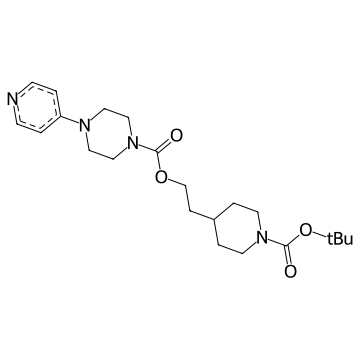 CC(C)(C)OC(=O)N1CCC(CCOC(=O)N2CCN(c3ccncc3)CC2)CC1